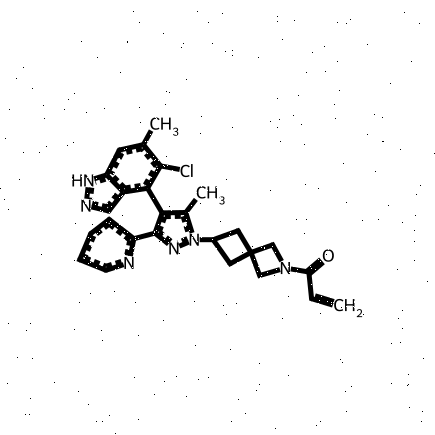 C=CC(=O)N1CC2(CC(n3nc(-c4ccccn4)c(-c4c(Cl)c(C)cc5[nH]ncc45)c3C)C2)C1